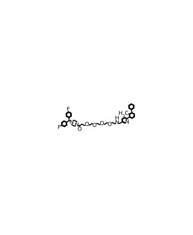 Cc1c(-c2ccccc2)cccc1-c1ccc(CNCCOCCOCCOCCOCCC(=O)N2CCN(C(c3ccc(F)cc3)c3ccc(F)cc3)CC2)cn1